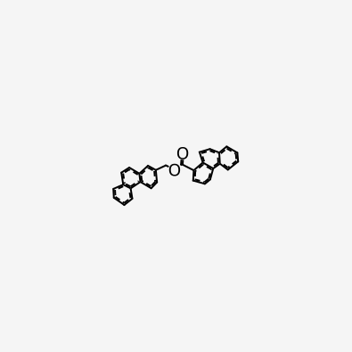 O=C(OCc1ccc2c(ccc3ccccc32)c1)c1cccc2c1ccc1ccccc12